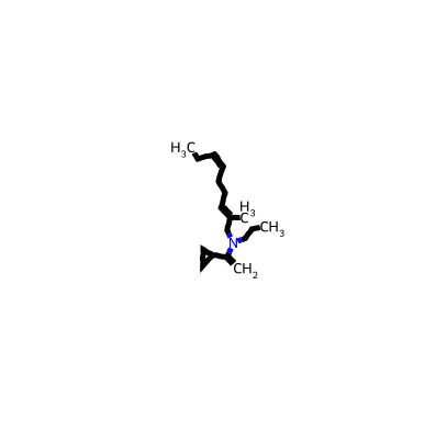 C=C(C1CC1)N(CCC)C/C(C)=C/CC/C=C\CC